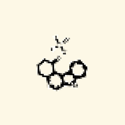 O=C1CCCc2[o+]cc3[nH]c4ccccc4c3c21.[O-][Cl+3]([O-])([O-])[O-]